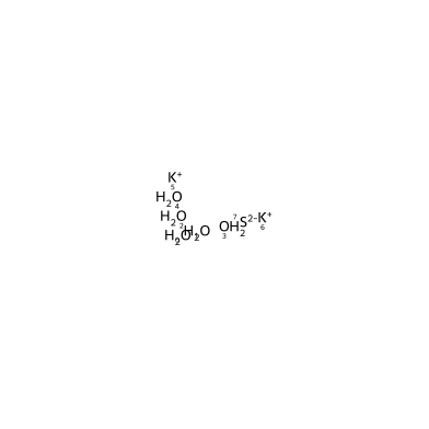 O.O.O.O.O.[K+].[K+].[S-2]